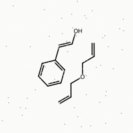 C=CCOCC=C.OC=Cc1ccccc1